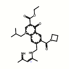 CCOC(=O)c1cn(CC(C)C)c2cc(CN/C(C)=C\C(C)=N)c(C(=O)N3CCC3)cc2c1=O